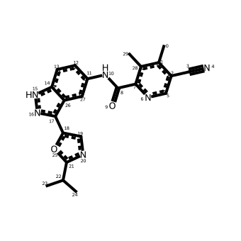 Cc1c(C#N)cnc(C(=O)Nc2ccc3[nH]nc(-c4cnc(C(C)C)o4)c3c2)c1C